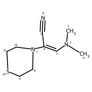 CN(C)C=C(C#N)N1CCSCC1